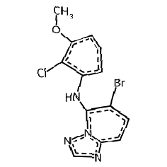 COc1cccc(Nc2c(Br)ccc3ncnn23)c1Cl